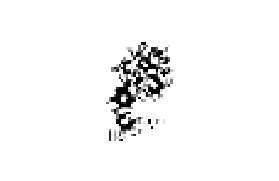 Cc1cc(COC(=O)N(C)CCN(C)C(=O)n2ccc3c(N(C)[C@H]4CN(C(=O)CC#N)CC[C@H]4C)ncnc32)ccc1O[C@H]1C[C@@H](O)[C@H](O)[C@@H](C(=O)O)O1